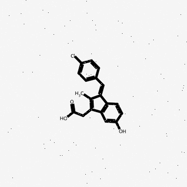 CC1=C(CC(=O)O)c2cc(O)ccc2C1=Cc1ccc(Cl)cc1